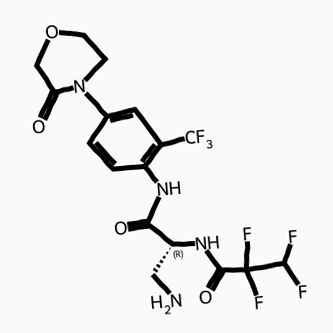 NC[C@@H](NC(=O)C(F)(F)C(F)F)C(=O)Nc1ccc(N2CCOCC2=O)cc1C(F)(F)F